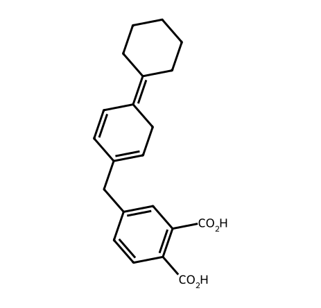 O=C(O)c1ccc(CC2=CCC(=C3CCCCC3)C=C2)cc1C(=O)O